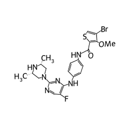 COc1c(Br)csc1C(=O)Nc1ccc(Nc2nc(N3C[C@@H](C)N[C@@H](C)C3)ncc2F)cc1